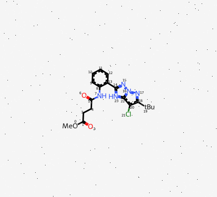 COC(=O)CCC(=O)Nc1ccccc1-c1nn2nc(C(C)(C)C)c(Cl)c2[nH]1